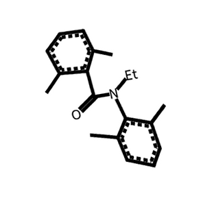 CCN(C(=O)c1c(C)cccc1C)c1c(C)cccc1C